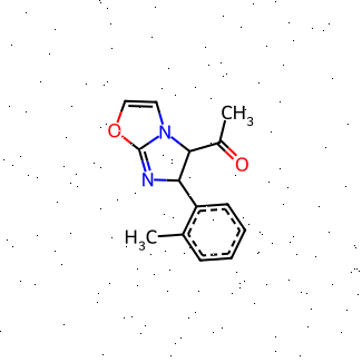 CC(=O)C1C(c2ccccc2C)N=C2OC=CN21